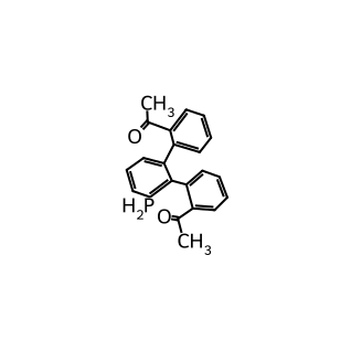 CC(=O)c1ccccc1-c1cccc(P)c1-c1ccccc1C(C)=O